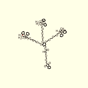 CC(C)(C)[Si](OCCOCCOCCOCCOc1cc(COC(=O)NCCOCCOCCN2C(=O)c3ccccc3C2=O)cc(OCCOCCOCCOCCO[Si](c2ccccc2)(c2ccccc2)C(C)(C)C)c1OCCOCCOCCOCCO[Si](c1ccccc1)(c1ccccc1)C(C)(C)C)(c1ccccc1)c1ccccc1